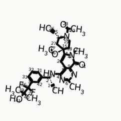 C#C[C@@H](Nc1nc(C)nc2c(=O)n(C)c([C@@]3(OC)CCN(C(C)=O)[C@@H](C#C)C3)cc12)c1cccc(C(F)(F)C(C)(C)O)c1